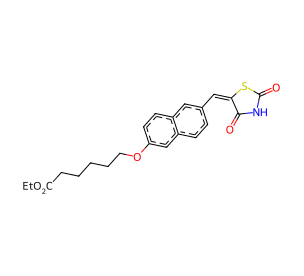 CCOC(=O)CCCCCOc1ccc2cc(/C=C3/SC(=O)NC3=O)ccc2c1